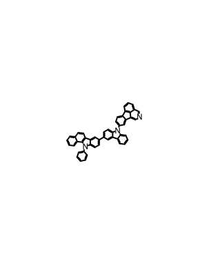 c1ccc(-n2c3ccc(-c4ccc5c(c4)c4ccccc4n5-c4ccc5c(c4)-c4cncc6cccc-5c46)cc3c3ccc4ccccc4c32)cc1